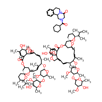 CCC(C)[C@H]1O[C@]2(CC[C@@H]1C)CC1C[C@@H](C/C=C(\C)[C@@H](O[C@H]3C[C@H](OC)[C@@H](OC4C[C@H](OC)[C@@H](O)[C@H](C)O4)[C@H](C)O3)[C@@H](C)/C=C/C=C3\CO[C@@H]4[C@H](O)C(C)=C[C@@H](C(=O)O1)[C@]34O)O2.CO[C@H]1CC(O[C@H]2[C@H](C)O[C@@H](O[C@@H]3/C(C)=C/C[C@@H]4CC(C[C@]5(CC[C@H](C)[C@@H](C(C)C)O5)O4)OC(=O)[C@@H]4C=C(C)[C@@H](O)[C@H]5OC/C(=C\C=C\[C@@H]3C)[C@]54O)C[C@@H]2OC)O[C@@H](C)[C@@H]1O.O=C(C1CCCCC1)N1CC(=O)N2CCc3ccccc3C2C1